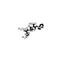 CO/N=C(\C(=O)N[C@H]1C(=O)N2C(C(=O)O)=C(Cn3cc[n+]4ncccc34)CS[C@H]12)c1nsc(N)n1